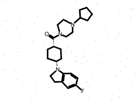 O=C([C@H]1CC[C@@H](N2CCc3cc(F)ccc32)CC1)N1CCN(C2CCCC2)CC1